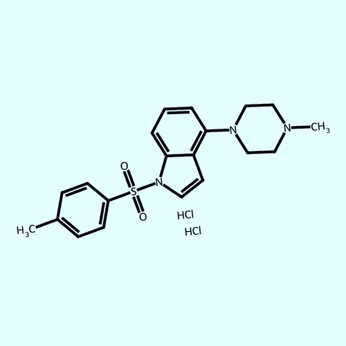 Cc1ccc(S(=O)(=O)n2ccc3c(N4CCN(C)CC4)cccc32)cc1.Cl.Cl